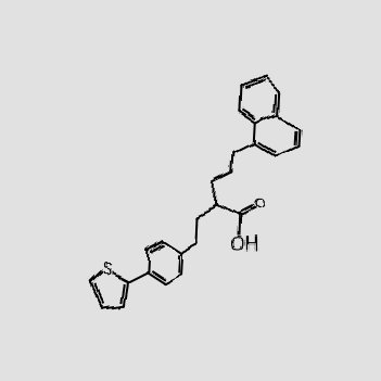 O=C(O)C(CCCc1cccc2ccccc12)CCc1ccc(-c2cccs2)cc1